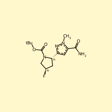 Cn1nc([C@@H]2C[C@@H](F)CN2C(=O)OC(C)(C)C)cc1C(N)=O